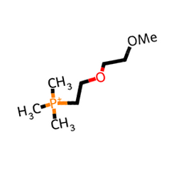 COCCOCC[P+](C)(C)C